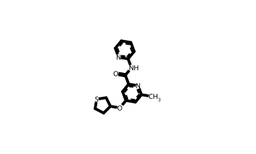 Cc1cc(OC2CCSC2)cc(C(=O)Nc2ccccn2)n1